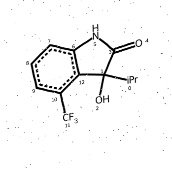 CC(C)C1(O)C(=O)Nc2cccc(C(F)(F)F)c21